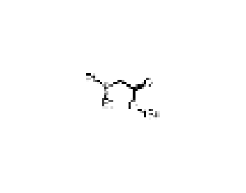 CCP(CC)CC(=O)OC(C)(C)C